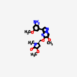 COc1cc(N)cc(-c2cnn3cc(OC)c(OC[C@@H]4C[C@@H](OC)C(=O)N4C)nc23)c1